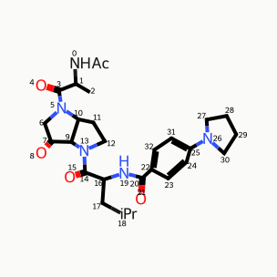 CC(=O)NC(C)C(=O)N1CC(=O)C2C1CCN2C(=O)C(CC(C)C)NC(=O)c1ccc(N2CCCC2)cc1